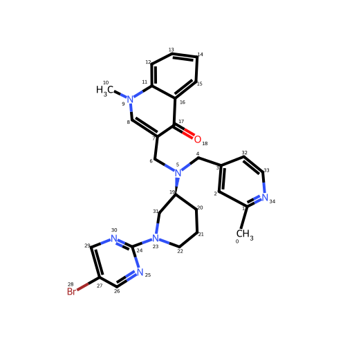 Cc1cc(CN(Cc2cn(C)c3ccccc3c2=O)[C@H]2CCCN(c3ncc(Br)cn3)C2)ccn1